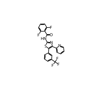 O=C(Nc1nc(-c2ccccn2)c(-c2cccc(C(F)(F)F)c2)s1)c1c(F)cccc1F